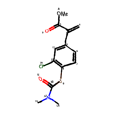 C=C(C(=O)OC)c1ccc(SC(=O)N(C)C)c(Cl)c1